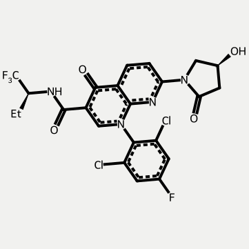 CC[C@H](NC(=O)c1cn(-c2c(Cl)cc(F)cc2Cl)c2nc(N3C[C@@H](O)CC3=O)ccc2c1=O)C(F)(F)F